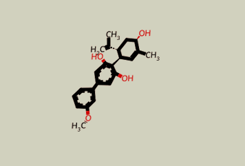 C=C(C)[C@@H]1C[C@H](O)C(C)=C[C@H]1c1c(O)cc(-c2cccc(OC)c2)cc1O